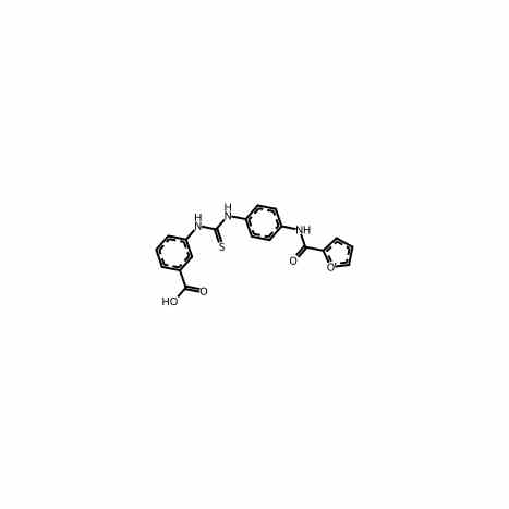 O=C(O)c1cccc(NC(=S)Nc2ccc(NC(=O)c3ccco3)cc2)c1